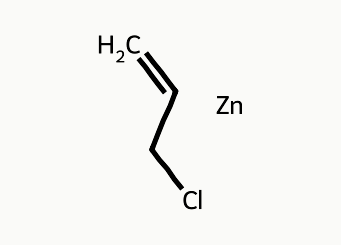 C=CCCl.[Zn]